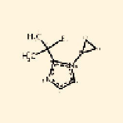 CCC(C)(C)c1nccn1C1CC1